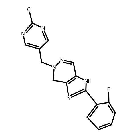 Fc1ccccc1-c1nc2c([nH]1)C=NN(Cc1cnc(Cl)nc1)C2